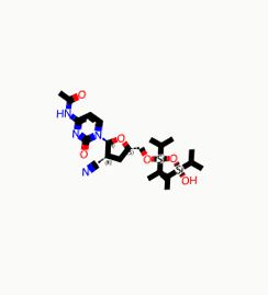 CC(=O)Nc1ccn([C@@H]2O[C@H](CO[Si](O[Si](O)(C(C)C)C(C)C)(C(C)C)C(C)C)C[C@@H]2C#N)c(=O)n1